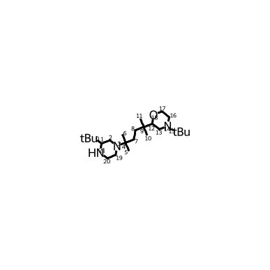 CC(C)(C)C1CN(C(C)(C)CCC(C)(C)C2CN(C(C)(C)C)CCO2)CCN1